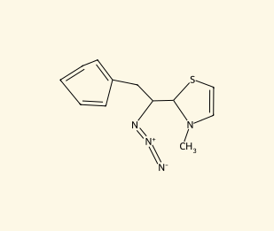 CN1C=CSC1C(Cc1ccccc1)N=[N+]=[N-]